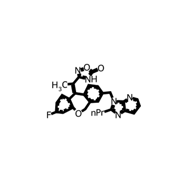 CCCc1nc2cccnc2n1Cc1ccc2c(c1)COc1cc(F)ccc1/C2=C(\C)c1noc(=O)[nH]1